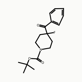 CC(C)(C)OC(=O)N1CCC(F)(C(=O)c2ccccc2)CC1